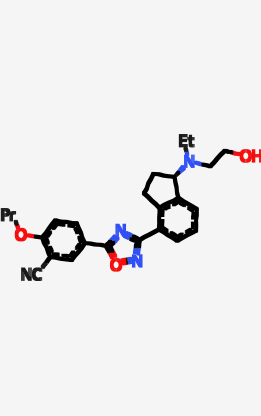 CCN(CCO)[C@@H]1CCc2c(-c3noc(-c4ccc(OC(C)C)c(C#N)c4)n3)cccc21